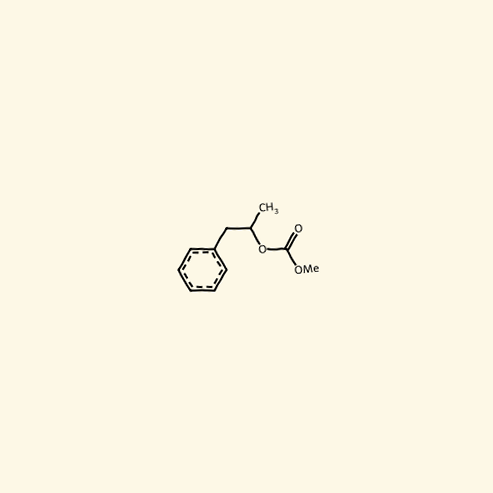 COC(=O)OC(C)Cc1ccccc1